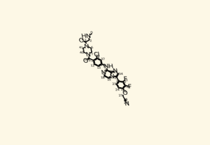 CNCC(=O)N1CCN(C(=O)c2ccc(Nc3nccn4c(-c5ccc(OCC#N)c(F)c5F)cnc34)cc2Cl)CC1